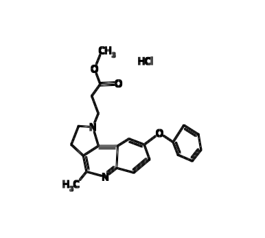 COC(=O)CCN1CCc2c(C)nc3ccc(Oc4ccccc4)cc3c21.Cl